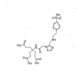 NS(=O)(=O)c1ccc(CCNCc2nccn2CC(=O)NC(CCC(=O)O)(CCC(=O)O)CCC(=O)O)cc1